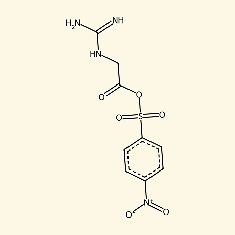 N=C(N)NCC(=O)OS(=O)(=O)c1ccc([N+](=O)[O-])cc1